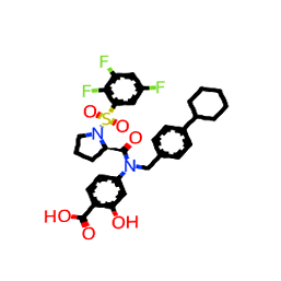 O=C(O)c1ccc(N(Cc2ccc(C3CCCCC3)cc2)C(=O)[C@H]2CCCN2S(=O)(=O)c2cc(F)cc(F)c2F)cc1O